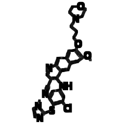 COc1cc2cc3c(Nc4ccc(Sc5nccn5C)c(Cl)c4)c(C#N)cnc3cc2cc1OCCCN1CCOCC1